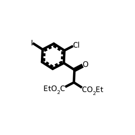 CCOC(=O)C(C(=O)OCC)C(=O)c1ccc(I)cc1Cl